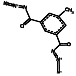 Cc1cc(C(=O)N=[N+]=[N-])cc(C(=O)N=[N+]=[N-])c1